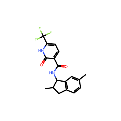 Cc1ccc2c(c1)C(NC(=O)c1ccc(C(F)(F)F)[nH]c1=O)C(C)C2